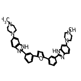 CN1CCN(c2ccc3nc(-c4cccc(-c5ccc(-c6cccc(-c7nc8ccc(N9CCN(C)CC9)cc8[nH]7)c6)o5)c4)[nH]c3c2)CC1